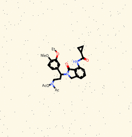 CCOc1cc(C(CCN(OC(C)=O)C(C)=O)N2Cc3cccc(NC(=O)C4CC4)c3C2=O)ccc1OC